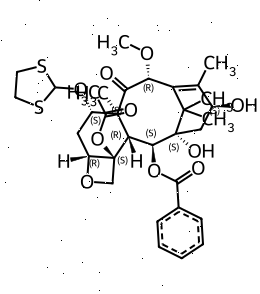 CO[C@H]1C(=O)[C@]2(C)[C@@H](OC3SCCS3)C[C@H]3OC[C@@]3(OC(C)=O)[C@H]2[C@H](OC(=O)c2ccccc2)[C@]2(O)C[C@H](O)C(C)=C1C2(C)C